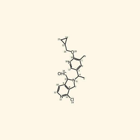 Cc1cc(C(C)N2Cc3c(ccnc3Cl)C2C=O)cnc1OCC1CC1